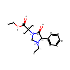 CCOC(=O)C(C)(C)N1CN(CC)C(c2ccccc2)C1=O